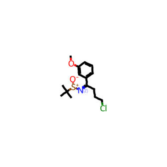 COc1cccc(/C(CCCCl)=N\[S+]([O-])C(C)(C)C)c1